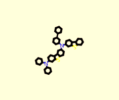 c1ccc(-c2cccc(N(c3ccc4c(c3)sc3ccccc34)c3ccc4sc5cc(N(c6ccccc6)c6ccccc6)ccc5c4c3)c2)cc1